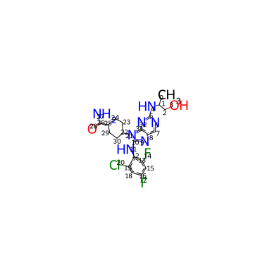 CC(CO)Nc1ncc2nc(Nc3c(F)cc(F)cc3Cl)n(C3CCC(C(N)=O)CC3)c2n1